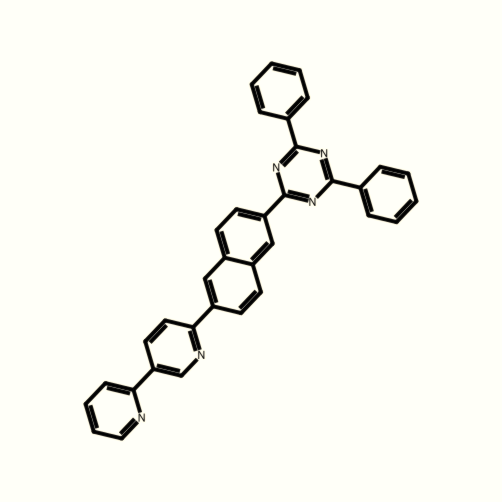 c1ccc(-c2nc(-c3ccccc3)nc(-c3ccc4cc(-c5ccc(-c6ccccn6)cn5)ccc4c3)n2)cc1